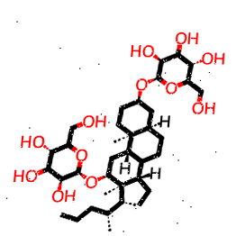 CCC[C@@H](C)[C@H]1CC[C@H]2C3CC[C@@H]4C[C@H](O[C@@H]5OC(CO)[C@@H](O)C(O)[C@@H]5O)CC[C@]4(C)[C@H]3C[C@H](O[C@@H]3OC(CO)[C@@H](O)C(O)[C@@H]3O)[C@]12C